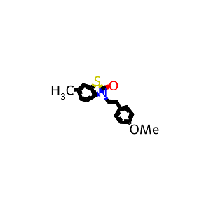 COc1ccc(/C=C/n2c(=O)sc3cc(C)ccc32)cc1